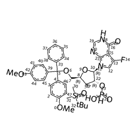 COc1ccc(C(OC[C@H]2O[C@@H](n3cc(F)c4c(=O)[nH]cnc43)[C@H](O[PH](=O)O)[C@@H]2O[Si](C)(C)C(C)(C)C)(c2ccccc2)c2ccc(OC)cc2)cc1